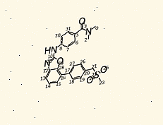 CN(C)C(=O)c1ccc(Nc2nc3cccc(-c4ccc(CS(C)(=O)=O)cc4)c3o2)cc1